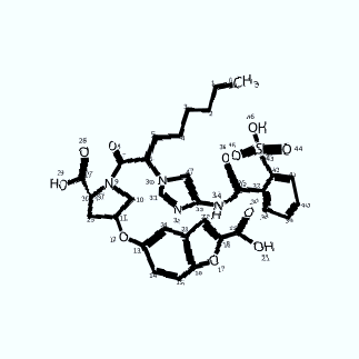 CCCCCCC(C(=O)N1CC(Oc2ccc3oc(C(=O)O)cc3c2)C[C@H]1C(=O)O)n1cnc(NC(=O)c2ccccc2S(=O)(=O)O)c1